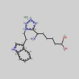 Cl.NC(CCCCB(O)O)c1nnnn1CCc1c[nH]c2ccccc12